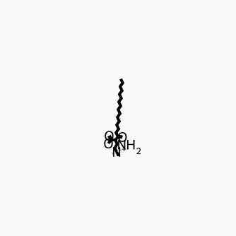 CCCCCCCCCCCCCCCC(=O)C(C(=O)[O-])C(N)C[N+](C)(C)C